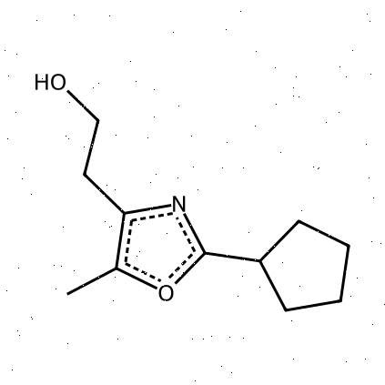 Cc1oc(C2CCCC2)nc1CCO